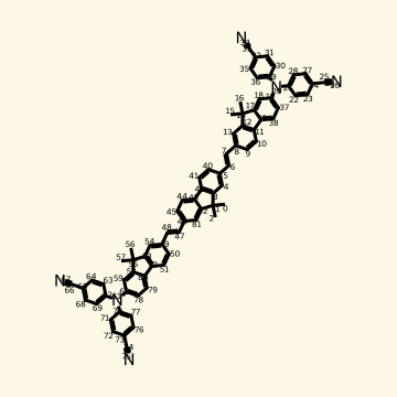 CC1(C)c2cc(/C=C/c3ccc4c(c3)C(C)(C)c3cc(N(c5ccc(C#N)cc5)c5ccc(C#N)cc5)ccc3-4)ccc2-c2ccc(/C=C/c3ccc4c(c3)C(C)(C)c3cc(N(c5ccc(C#N)cc5)c5ccc(C#N)cc5)ccc3-4)cc21